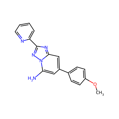 COc1ccc(-c2cc(N)n3nc(-c4ccccn4)nc3c2)cc1